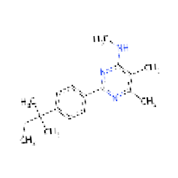 CCC(C)(C)c1ccc(-c2nc(C)c(C)c(NC)n2)cc1